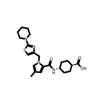 Cc1cc(C(=O)N[C@H]2CC[C@H](C(=O)O)CC2)n(Cc2csc(N3CCCCC3)n2)c1